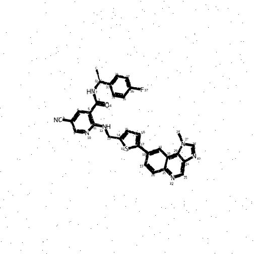 C[C@H](NC(=O)c1cc(C#N)cnc1NCc1ccc(-c2ccc3ncc4ncn(C)c4c3c2)s1)c1ccc(F)cc1